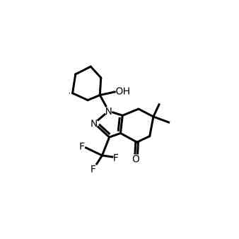 CC1(C)CC(=O)c2c(C(F)(F)F)nn(C3(O)C[CH]CCC3)c2C1